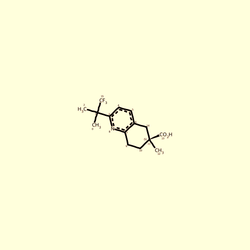 CC(C)(c1ccc2c(n1)CC[C@](C)(C(=O)O)C2)C(F)(F)F